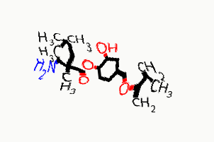 C=C(C)C(=C)OCC1CCC(OC(=O)C(C)(CN)CC(C)(C)C)C(O)C1